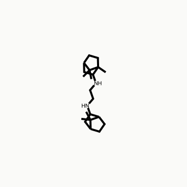 CC1(C)C2CCC1C(NCCNC1CC3CCC1(C)C3(C)C)C2